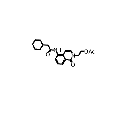 CC(=O)OCCn1ccc2c(NC(=O)CC3CCCCC3)cccc2c1=O